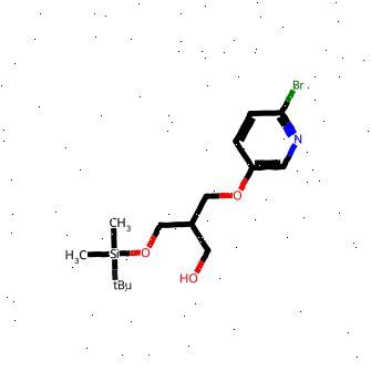 CC(C)(C)[Si](C)(C)OCC(CO)COc1ccc(Br)nc1